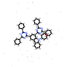 c1ccc(-c2nc(-c3ccccc3)nc(-c3cc(-c4nc(-c5ccccc5)nc(-c5ccccc5)n4)c4c(c3)c3ccccc3n4-c3ccccc3)n2)cc1